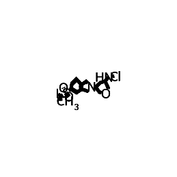 CC(I)S(=O)(=O)c1ccc2c(c1)CN([C@H]1COCC(NCl)C1)C2